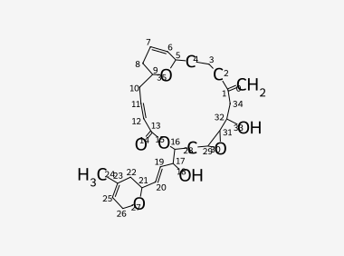 C=C1CCCC2C=CCC(C/C=C\C(=O)OC(C(O)/C=C/C3CC(C)=CCO3)CC3OC3C(O)C1)O2